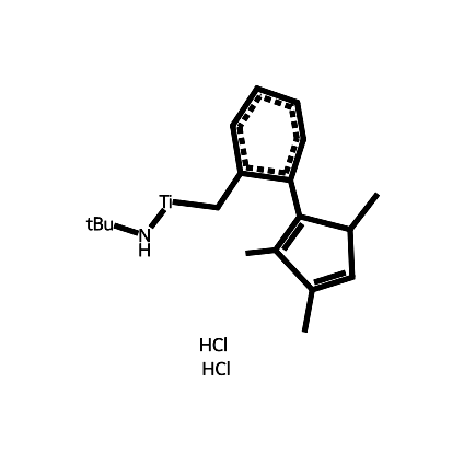 CC1=CC(C)C(c2ccccc2[CH2][Ti][NH]C(C)(C)C)=C1C.Cl.Cl